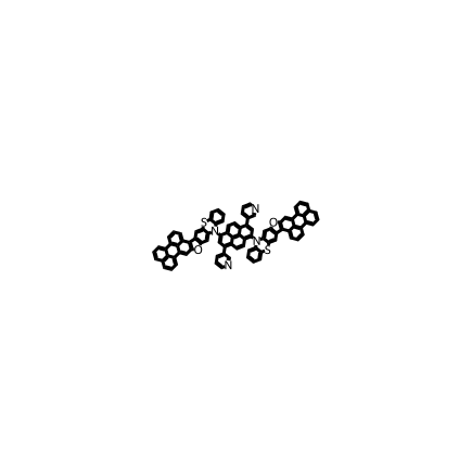 c1cncc(-c2cc(-n3c4ccccc4sc4cc5c(cc43)oc3cc4c6cccc7cccc(c8cccc(c35)c84)c76)c3ccc4c(-c5cccnc5)cc(-n5c6ccccc6sc6cc7c(cc65)oc5cc6c8cccc9cccc(c%10cccc(c57)c%106)c98)c5ccc2c3c45)c1